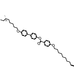 C=CCCCCCCCCOc1ccc(C(=O)Oc2ccc(-c3ccc(OCCCCC[C@@H](C)CC)cc3)cc2)cc1